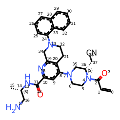 C=CC(=O)N1CCN(c2cc(C(=O)N[C@@H](C)CN)nc3c2CCN(c2cccc4ccccc24)C3)C[C@@H]1CC#N